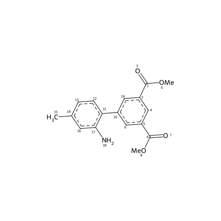 COC(=O)c1cc(C(=O)OC)cc(-c2ccc(C)cc2N)c1